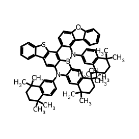 CC1(C)CCC(C)(C)c2cc(N3B4c5cc6c(cc5N(c5ccc7c(c5)C(C)(C)CCC7(C)C)c5cc7c(sc8ccccc87)c(c54)-c4ccc5oc7ccccc7c5c43)C(C)(C)CCC6(C)C)ccc21